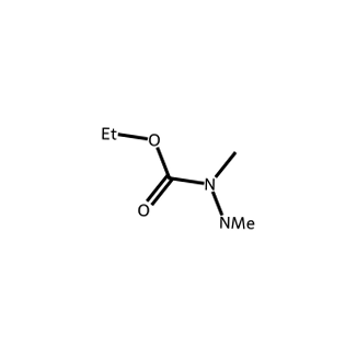 CCOC(=O)N(C)NC